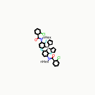 CCCCCCN(C(=O)c1ccccc1Cl)c1ccc(F)[c]([Ti]([C]2=CC=CC2)([C]2=CC=CC2)[c]2c(F)ccc(N(CCCCCC)C(=O)c3ccccc3Cl)c2F)c1F